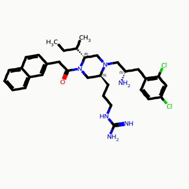 CCC(C)[C@@H]1CN(C[C@@H](N)Cc2ccc(Cl)cc2Cl)[C@@H](CCCNC(=N)N)CN1C(=O)Cc1ccc2ccccc2c1